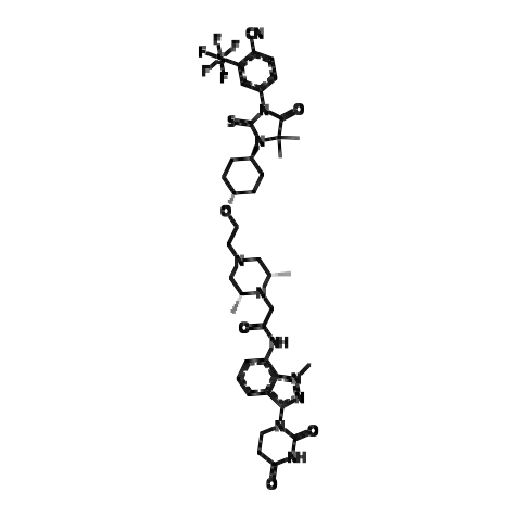 C[C@@H]1CN(CCO[C@H]2CC[C@H](N3C(=S)N(c4ccc(C#N)c(S(F)(F)(F)(F)F)c4)C(=O)C3(C)C)CC2)C[C@H](C)N1CC(=O)Nc1cccc2c(N3CCC(=O)NC3=O)nn(C)c12